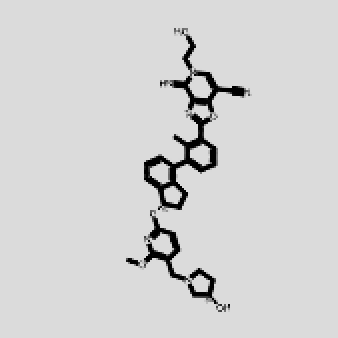 COc1nc(O[C@H]2CCc3c(-c4cccc(-c5nc6c(=N)n(CCO)cc(C#N)c6o5)c4C)cccc32)ccc1CN1CC[C@@H](O)C1